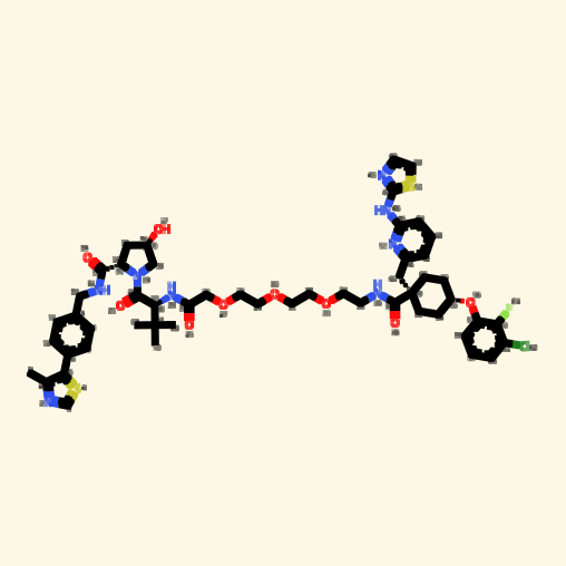 Cc1ncsc1-c1ccc(CNC(=O)[C@@H]2C[C@@H](O)CN2C(=O)[C@@H](NC(=O)COCCOCCOCCNC(=O)[C@]2(Cc3cccc(Nc4nccs4)n3)CC[C@@H](Oc3cccc(Cl)c3F)CC2)C(C)(C)C)cc1